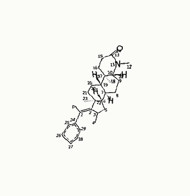 C/C(=C1/C(C)C[C@H]2[C@@H]3CC[C@H]4N(C)C(=O)CC[C@]4(C)[C@H]3CC[C@]12C)c1ccccc1